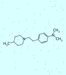 CC1CCN(CCc2ccc(N(C)C)cc2)CC1